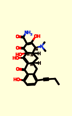 CCC#Cc1ccc(O)c2c1C[C@H]1C[C@H]3[C@H](N(C)C)C(O)=C(C(N)=O)C(=O)[C@@]3(O)C(O)=C1C2=O